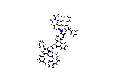 c1ccc(-c2cc(-c3ccccc3)cc(N(c3ccc4c(c3)oc3c5ccc(N(c6cc(-c7ccccc7)cc(-c7ccccc7)c6)c6ccc7ccc8ccccc8c7c6)cc5c5ccccc5c43)c3ccc4ccc5ccccc5c4c3)c2)cc1